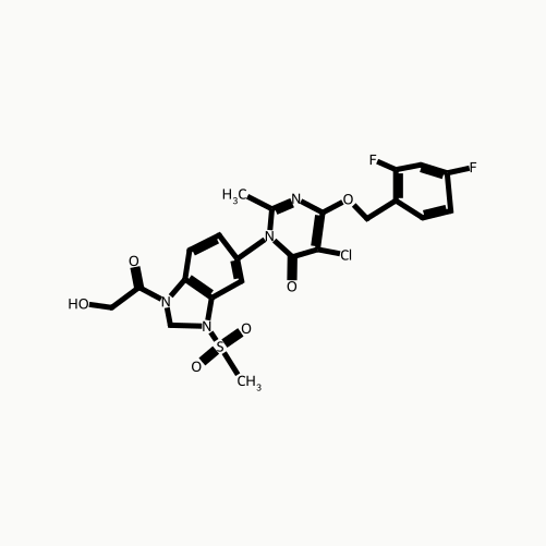 Cc1nc(OCc2ccc(F)cc2F)c(Cl)c(=O)n1-c1ccc2c(c1)N(S(C)(=O)=O)CN2C(=O)CO